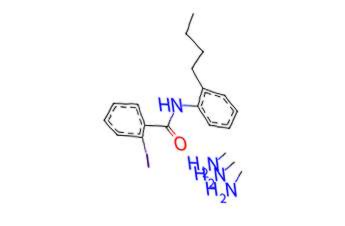 CCCCc1ccccc1NC(=O)c1ccccc1I.CN.CN.CN